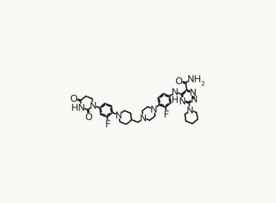 NC(=O)c1nnc(N2CCCCC2)nc1Nc1ccc(N2CCN(CC3CCN(c4ccc(N5CCC(=O)NC5=O)cc4F)CC3)CC2)c(F)c1